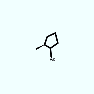 CC(=O)C1CCC[C@@H]1C